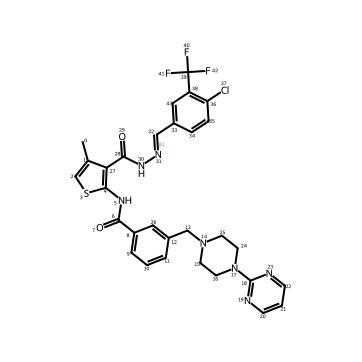 Cc1csc(NC(=O)c2cccc(CN3CCN(c4ncccn4)CC3)c2)c1C(=O)N/N=C/c1ccc(Cl)c(C(F)(F)F)c1